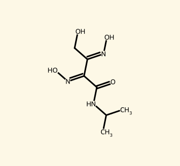 CC(C)NC(=O)C(=NO)C(CO)=NO